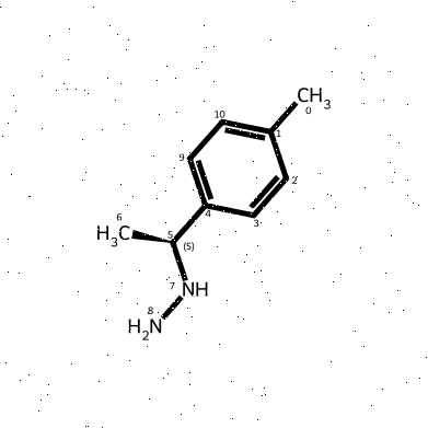 Cc1ccc([C@H](C)NN)cc1